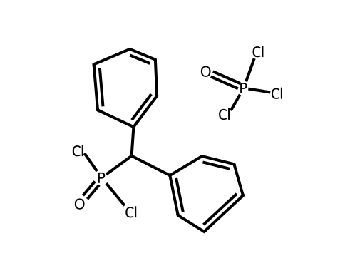 O=P(Cl)(Cl)C(c1ccccc1)c1ccccc1.O=P(Cl)(Cl)Cl